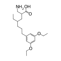 CCOc1cc(CCCC(CC)CC(CN)C(=O)O)cc(OCC)c1